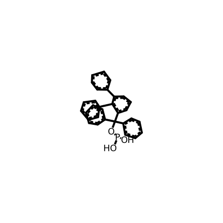 OP(O)OC(c1ccccc1)(c1ccccc1)c1cccc(-c2ccccc2)c1-c1ccccc1